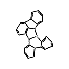 c1ccc2c(c1)B1N(c3ccccc3-2)c2nccc3c4ccccc4n1c23